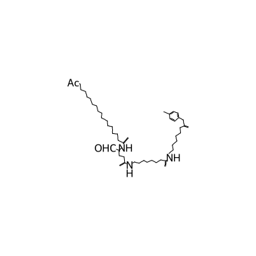 C=C(CCCCCCCNC(=C)CCCCCCCNC(=C)CCC(C=O)NC(=C)CCCCCCCCCCCCCCCCC(C)=O)Cc1ccc(C)cc1